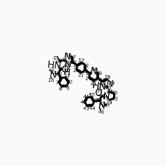 C[C@H](NC(=O)[C@@H](c1ccccc1)N(C)C)c1ncc(-c2ccc(-c3ccc(-c4cnc([C@@H]5CCCN5C(=O)[C@@H](c5ccccc5)N(C)C)[nH]4)cn3)cc2)[nH]1